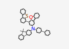 CC1(C)c2ccccc2-c2ccc(N(c3ccc(-c4ccccc4)cc3)c3cc(-c4cccc5c4sc4ccccc45)c4oc5ccccc5c4c3)cc21